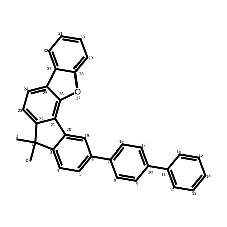 CC1(C)c2ccc(-c3ccc(-c4ccccc4)cc3)cc2-c2c1ccc1c2oc2ccccc21